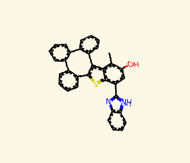 Cc1c(O)cc(-c2nc3ccccc3[nH]2)c2sc3c(c12)-c1ccccc1-c1ccccc1-c1ccccc1-3